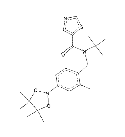 Cc1cc(B2OC(C)(C)C(C)(C)O2)ccc1CN(C(=O)c1cncs1)C(C)(C)C